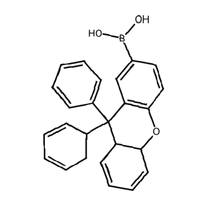 OB(O)c1ccc2c(c1)C(c1ccccc1)(C1C=CC=CC1)C1C=CC=CC1O2